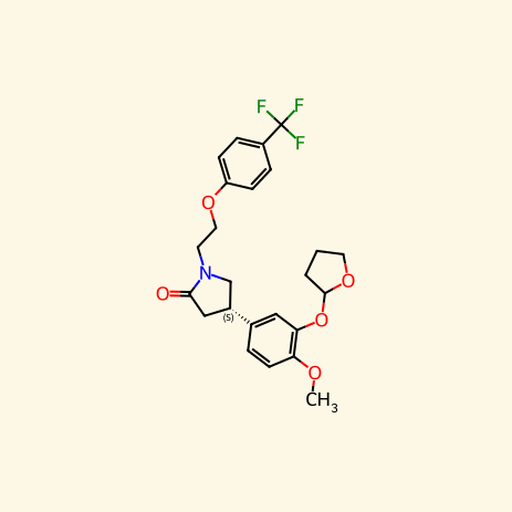 COc1ccc([C@@H]2CC(=O)N(CCOc3ccc(C(F)(F)F)cc3)C2)cc1OC1CCCO1